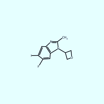 Cc1nc2cc(I)c(F)cc2n1C1COC1